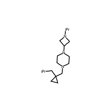 CC(C)CC1(CN2CCN(C3CN(C(C)C)C3)CC2)CC1